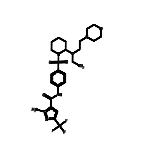 CCN(CCN1CCOCC1)C1CCCCN1S(=O)(=O)c1ccc(NC(=O)c2cc(C(F)(F)F)nn2C)cc1